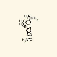 CN(C)C1CCC(Nc2cc3cc(C(N)=O)oc3cn2)C(C)(C)C1